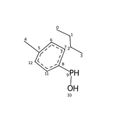 CCCC.Cc1ccc(PO)cc1